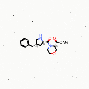 COC(=O)[C@@H]1COCCN1C(=O)[C@H]1C[C@H](Cc2ccccc2)CN1